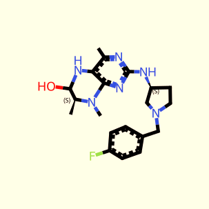 Cc1nc(N[C@H]2CCN(Cc3ccc(F)cc3)C2)nc2c1NC(O)[C@H](C)N2C